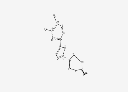 CCC[C@H]1CC[C@H](c2ccc(-c3ccc(F)c(F)c3)o2)CC1